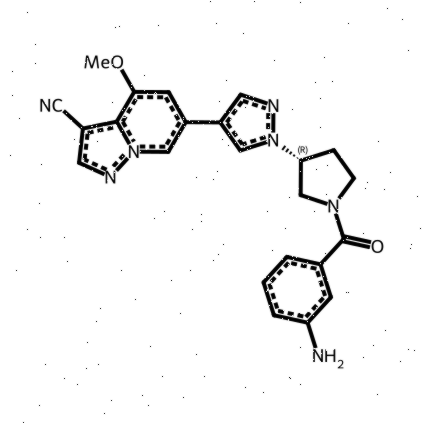 COc1cc(-c2cnn([C@@H]3CCN(C(=O)c4cccc(N)c4)C3)c2)cn2ncc(C#N)c12